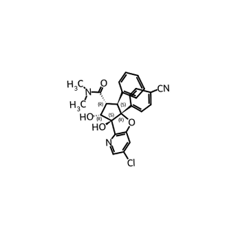 CN(C)C(=O)[C@H]1[C@@H](O)[C@@]2(O)c3ncc(Cl)cc3O[C@@]2(c2ccc(C#N)cc2)[C@@H]1c1ccccc1